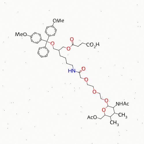 COc1ccc(C(OCC(CCCCNC(=O)COCCOCCOC2OC(COC(C)=O)C(C)C(C)C2NC(C)=O)COC(=O)CCC(=O)O)(c2ccccc2)c2ccc(OC)cc2)cc1